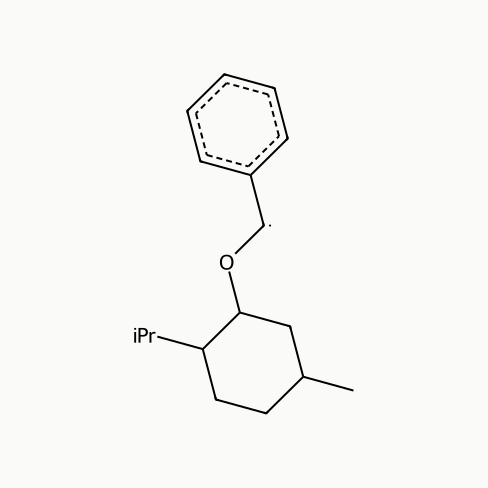 CC1CCC(C(C)C)C(O[CH]c2ccccc2)C1